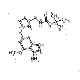 COc1cc(Cn2ccc(CNC(=O)OC(C)(C)C)n2)cc2onc(N)c12